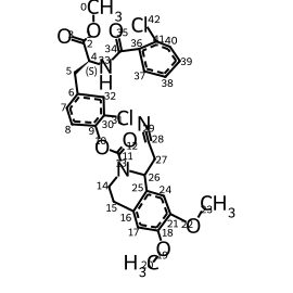 COC(=O)[C@H](Cc1ccc(OC(=O)N2CCc3cc(OC)c(OC)cc3C2CC#N)c(Cl)c1)NC(=O)c1ccccc1Cl